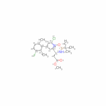 COC(=O)C[C@H](N[S@+]([O-])C(C)(C)C)c1cc(-c2c(C)ccc(F)c2C)cc(Cl)n1